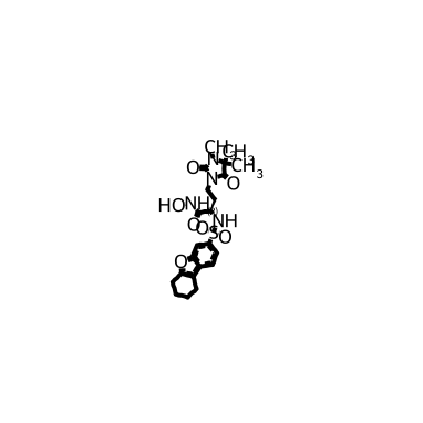 CN1C(=O)N(CC[C@@H](NS(=O)(=O)c2ccc3c4c(oc3c2)CCCC4)C(=O)NO)C(=O)C1(C)C